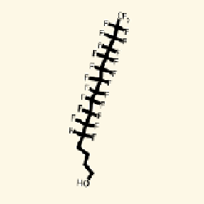 OCCCCC(F)(F)C(F)(F)C(F)(F)C(F)(F)C(F)(F)C(F)(F)C(F)(F)C(F)(F)C(F)(F)C(F)(F)C(F)(F)C(F)(F)F